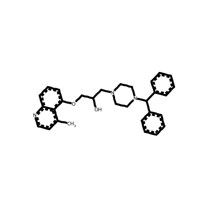 Cc1ccnc2cccc(OCC(O)CN3CCN(C(c4ccccc4)c4ccccc4)CC3)c12